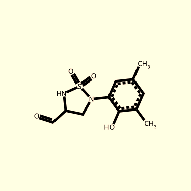 Cc1cc(C)c(O)c(N2CC(C=O)NS2(=O)=O)c1